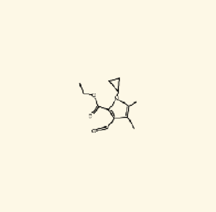 CCOC(=O)c1c(C=O)c(C)c(C)n1C1CC1